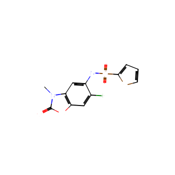 Cn1c(=O)oc2cc(F)c(NS(=O)(=O)c3cccs3)cc21